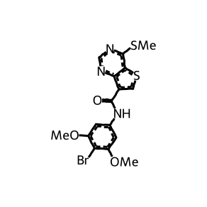 COc1cc(NC(=O)c2csc3c(SC)ncnc23)cc(OC)c1Br